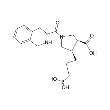 O=C(O)[C@@H]1CN(C(=O)C2Cc3ccccc3CN2)C[C@@H]1CCCB(O)O